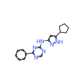 c1ccc(-c2ncnc(Nc3cc(C4CCCC4)[nH]n3)n2)cc1